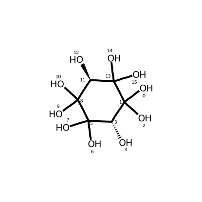 OC1(O)[C@H](O)C(O)(O)C(O)(O)[C@@H](O)C1(O)O